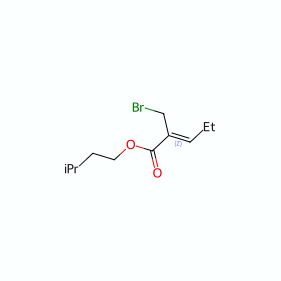 CC/C=C(\CBr)C(=O)OCCC(C)C